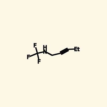 CCC#CCNC(F)(F)F